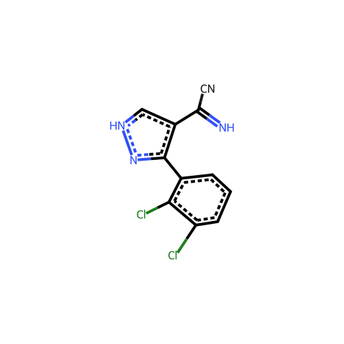 N#CC(=N)c1c[nH]nc1-c1cccc(Cl)c1Cl